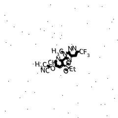 CCS(=O)(=O)c1cc(OC(C)(C)C#N)cnc1-c1nc2cc(C(F)(F)F)nnc2n1C